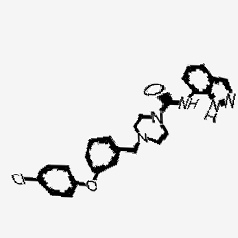 O=C(Nc1cccc2cn[nH]c12)N1CCN(Cc2cccc(Oc3ccc(Cl)cc3)c2)CC1